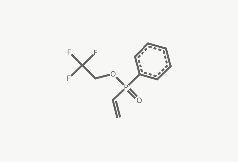 C=CP(=O)(OCC(F)(F)F)c1ccccc1